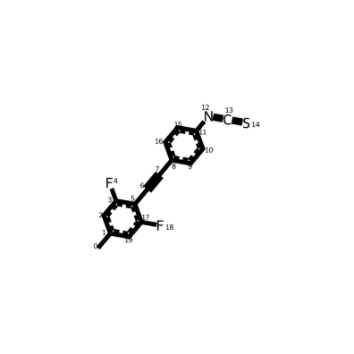 Cc1cc(F)c(C#Cc2ccc(N=C=S)cc2)c(F)c1